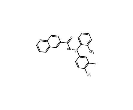 O=C(N[C@@H](c1ccc(C(F)(F)F)c(F)c1)c1ccccc1C(F)(F)F)c1ccc2ncccc2c1